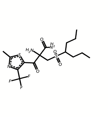 CCCC(CCC)S(=O)(=O)CC(N)(C(N)=O)C(=O)c1sc(C)nc1C(F)(F)F